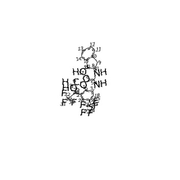 COc1c(NC(=O)N[C@@H]2Cc3ccccc3[C@@H]2O)cc(S(F)(F)(F)(F)F)cc1[C@H](O)C(F)(F)F